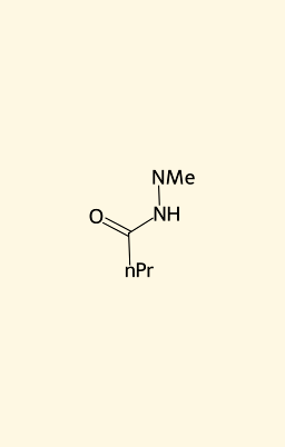 CCCC(=O)NNC